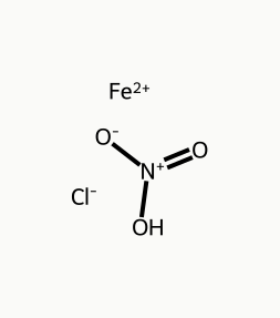 O=[N+]([O-])O.[Cl-].[Fe+2]